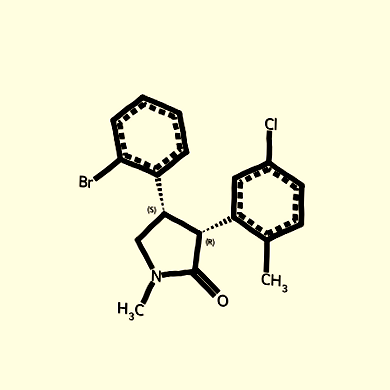 Cc1ccc(Cl)cc1[C@@H]1C(=O)N(C)C[C@@H]1c1ccccc1Br